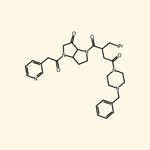 CC(C)CC(CC(=O)N1CCN(Cc2ccccc2)CC1)C(=O)N1CCC2C1C(=O)CN2C(=O)Cc1cccnc1